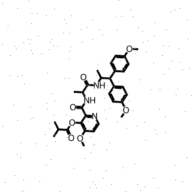 COc1ccc(C(c2ccc(OC)cc2)C(C)NC(=O)C(C)NC(=O)c2nccc(OC)c2OC(=O)C(C)C)cc1